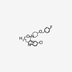 CCc1nc2ccc(Cl)cn2c1C(=O)N1CCC(OCc2ccc(F)cc2)CC1